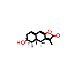 CC1=C2C(=CC3=CC[C@H](O)[C@H](C)[C@@]3(C)[C@H]2C)OC1=O